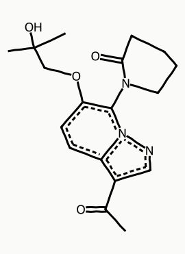 CC(=O)c1cnn2c(N3CCCCC3=O)c(OCC(C)(C)O)ccc12